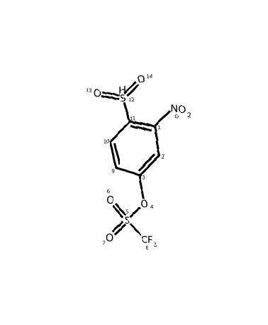 O=[N+]([O-])c1cc(OS(=O)(=O)C(F)(F)F)ccc1[SH](=O)=O